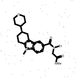 CCN(CC(=O)NC)C(=O)c1ccc2c(c1)c1c(n2C)CCC(C2CCOCC2)C1